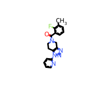 Cc1cccc(C(=O)N2CCc3c(nnn3-c3ccccn3)C2)c1F